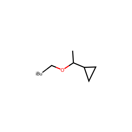 [CH2]CC(C)COC(C)C1CC1